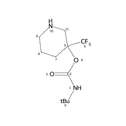 CC(C)(C)NC(=O)OC1(C(F)(F)F)CCCNC1